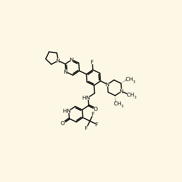 C[C@@H]1CN(c2cc(F)c(-c3cnc(N4CCCC4)nc3)cc2CNC(=O)c2c[nH]c(=O)cc2C(F)(F)F)C[C@H](C)N1C